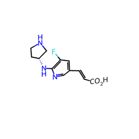 O=C(O)/C=C/c1cnc(N[C@@H]2CCNC2)c(F)c1